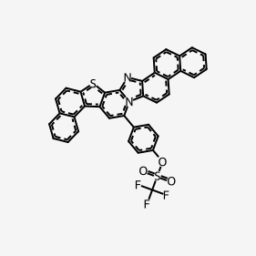 O=S(=O)(Oc1ccc(-c2cc3c(sc4ccc5ccccc5c43)c3nc4c5ccc6ccccc6c5ccc4n23)cc1)C(F)(F)F